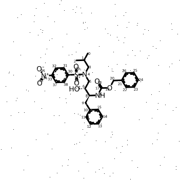 CC(C)CN(C[C@@H](O)[C@H](Cc1ccccc1)NC(=O)OCc1ccccc1)S(=O)(=O)c1ccc([N+](=O)[O-])cc1